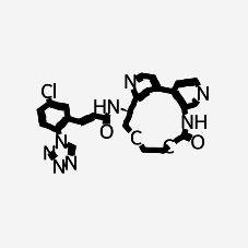 O=C(/C=C/c1cc(Cl)ccc1-n1cnnn1)N[C@H]1CCCCCC(=O)Nc2cnccc2-c2ccnc1c2